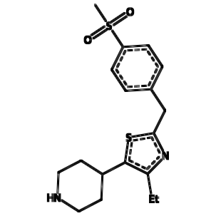 CCc1nc(Cc2ccc(S(C)(=O)=O)cc2)sc1C1CCNCC1